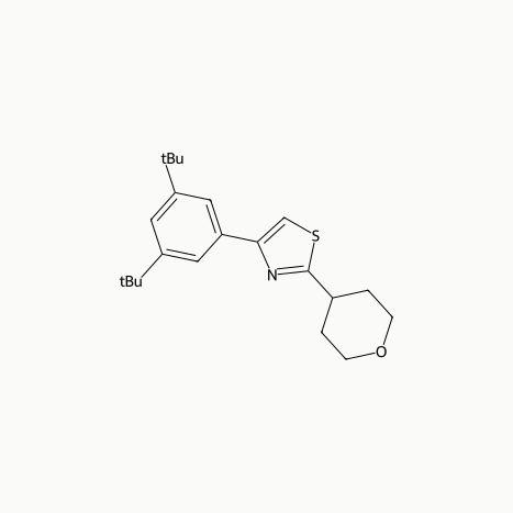 CC(C)(C)c1cc(-c2csc(C3CCOCC3)n2)cc(C(C)(C)C)c1